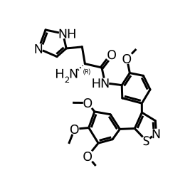 COc1ccc(-c2cnsc2-c2cc(OC)c(OC)c(OC)c2)cc1NC(=O)[C@H](N)Cc1cnc[nH]1